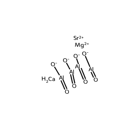 [CaH2].[Mg+2].[O]=[Al][O-].[O]=[Al][O-].[O]=[Al][O-].[O]=[Al][O-].[Sr+2]